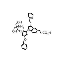 NC(CO)(CO)CO.O=C(O)CCc1ccc2c(c1)c(CCc1ccccc1)cn2-c1cccc(OCc2ccccc2)c1